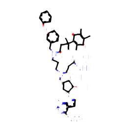 CNc1ncnc2c1ccn2[C@@H]1C[C@H](CN(CCCN(Cc2cccc(Oc3ccccc3)c2)C(=O)CC(C)(C)C2=C(C)C(=O)C(C)=C(C)C2=O)CCC(N)C(=O)O)[C@@H](O)[C@H]1O